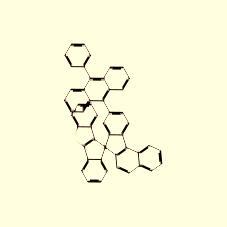 c1ccc(-c2c3ccccc3c(-c3ccc4c(c3)C3(c5ccccc5-c5sc6ccccc6c53)c3ccc5ccccc5c3-4)c3ccccc23)cc1